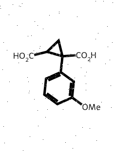 COc1cccc(C2(C(=O)O)CC2C(=O)O)c1